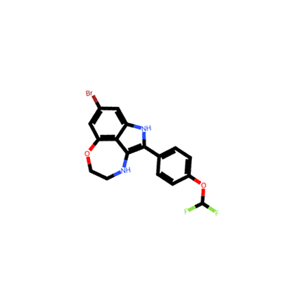 FC(F)Oc1ccc(-c2[nH]c3cc(Br)cc4c3c2NCCO4)cc1